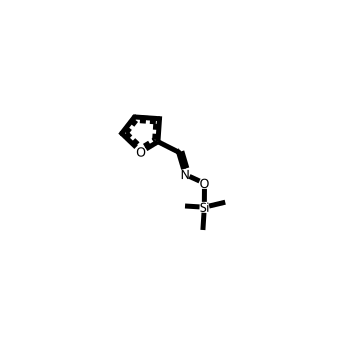 C[Si](C)(C)O/N=[C]/c1ccco1